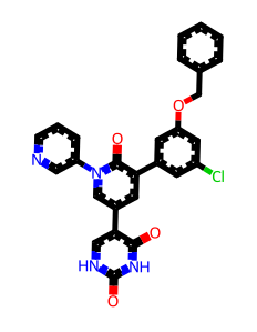 O=c1[nH]cc(-c2cc(-c3cc(Cl)cc(OCc4ccccc4)c3)c(=O)n(-c3cccnc3)c2)c(=O)[nH]1